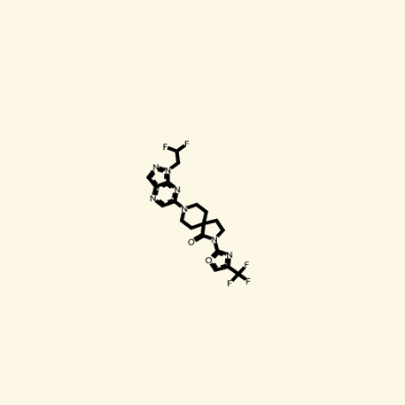 O=C1N(c2nc(C(F)(F)F)co2)CCC12CCN(c1cnc3cnn(CC(F)F)c3n1)CC2